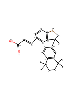 CC1(C)CCC(C)(C)c2cc(C3(C)CSc4ccc(/C=C/C(=O)O)cc43)ccc21